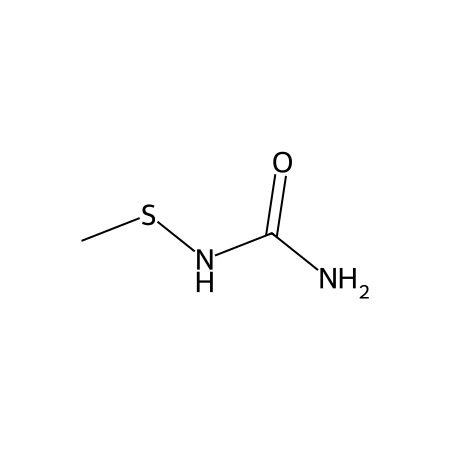 CSNC(N)=O